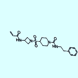 C=CC(=O)NC1CN(S(=O)(=O)C2CCN(C(=O)NCCc3ccccc3)CC2)C1